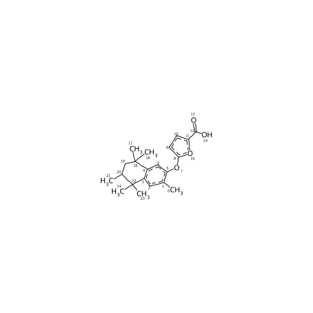 Cc1cc2c(cc1Oc1ccc(C(=O)O)o1)C(C)(C)CC(C)C2(C)C